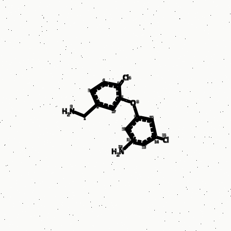 NCc1ccc(Cl)c(Oc2cc(N)cc(Cl)c2)c1